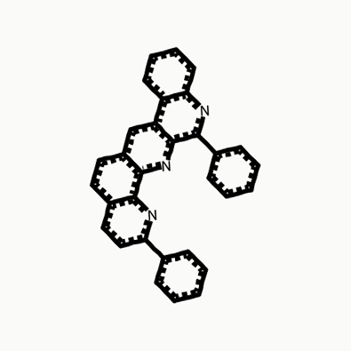 c1ccc(-c2ccc3ccc4cc5c(nc4c3n2)c(-c2ccccc2)nc2ccccc25)cc1